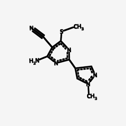 CSc1nc(-c2cnn(C)c2)nc(N)c1C#N